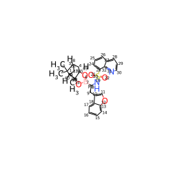 CC1(C)[C@@H]2C[C@H]3OB([C@H](Cc4coc5ccccc45)NS(=O)(=O)c4cccc5cccnc45)O[C@@]3(C)[C@H]1C2